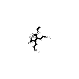 C=COC(=O)/C(CCN)=C(/CCN)C(=O)OC